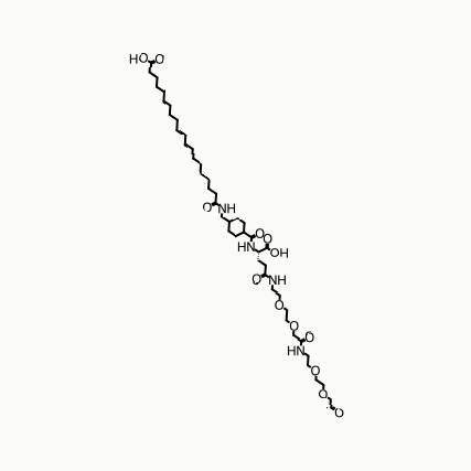 O=[C]COCCOCCNC(=O)COCCOCCNC(=O)CC[C@H](NC(=O)C1CCC(CNC(=O)CCCCCCCCCCCCCCCCCCC(=O)O)CC1)C(=O)O